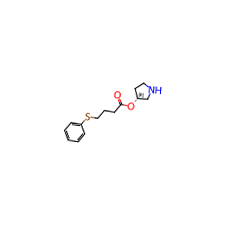 O=C(CCCSc1ccccc1)O[C@@H]1CCNC1